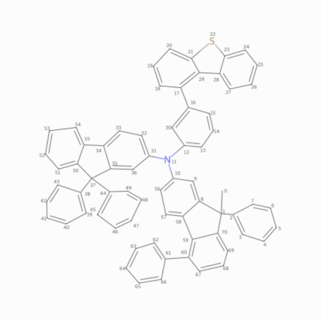 CC1(c2ccccc2)c2cc(N(c3cccc(-c4cccc5sc6ccccc6c45)c3)c3ccc4c(c3)C(c3ccccc3)(c3ccccc3)c3ccccc3-4)ccc2-c2c(-c3ccccc3)cccc21